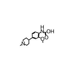 COc1cc(C2CCN(C)CC2)ccc1NC(=O)O